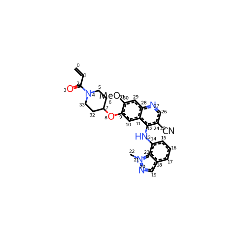 C=CC(=O)N1CCC(Oc2cc3c(Nc4cccc5cnn(C)c45)c(C#N)cnc3cc2OC)CC1